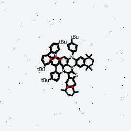 CC(C)(C)c1ccc(N2c3cc4c(cc3B3c5sc6cc7c(cc6c5N(c5ccc(C(C)(C)C)cc5-c5ccccc5)c5cc(-n6c8cc(C(C)(C)C)ccc8c8ccc(C(C)(C)C)cc86)cc2c53)C2(C)CCC7(C)CC2)C(C)(C)CCC4(C)C)cc1